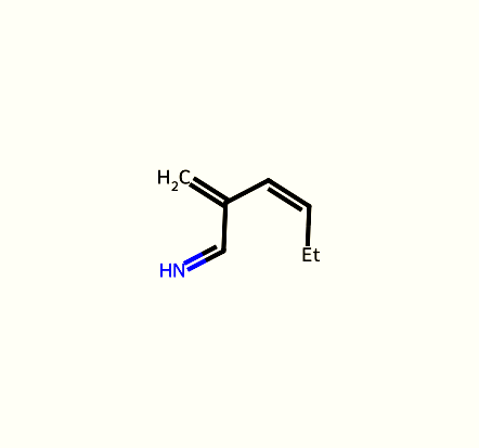 C=C(C=N)/C=C\CC